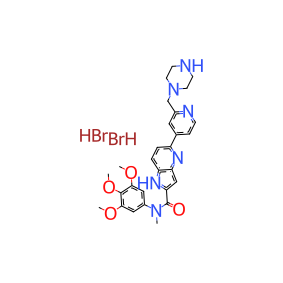 Br.Br.COc1cc(N(C)C(=O)c2cc3nc(-c4ccnc(CN5CCNCC5)c4)ccc3[nH]2)cc(OC)c1OC